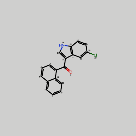 O=C(c1cccc2ccccc12)c1c[nH]c2ccc(Cl)cc12